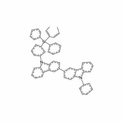 C/C=C\C(=C/C)[Si](c1ccccc1)(c1ccccc1)c1cccc(-n2c3ccccc3c3cc(-c4ccc5c(c4)c4ccccc4n5-c4ccccc4)ccc32)c1